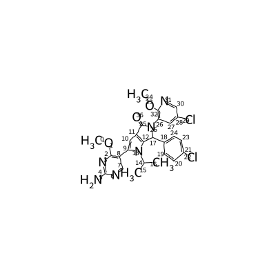 COc1nc(N)ncc1-c1cc2c(n1C(C)C)C(c1ccc(Cl)cc1)N(c1cc(Cl)cnc1OC)C2=O